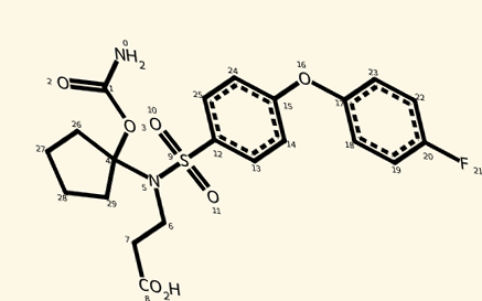 NC(=O)OC1(N(CCC(=O)O)S(=O)(=O)c2ccc(Oc3ccc(F)cc3)cc2)CCCC1